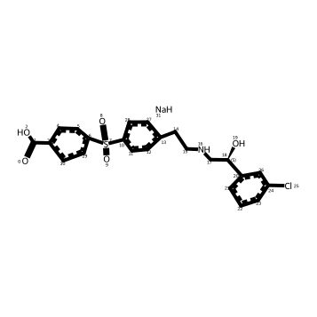 O=C(O)c1ccc(S(=O)(=O)c2ccc(CCNC[C@@H](O)c3cccc(Cl)c3)cc2)cc1.[NaH]